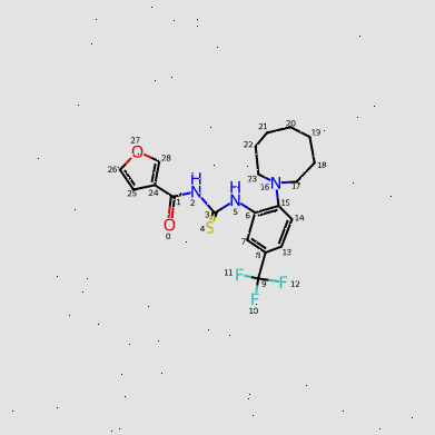 O=C(NC(=S)Nc1cc(C(F)(F)F)ccc1N1CCCCCCC1)c1ccoc1